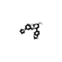 CC1N=C(N)C=C(c2ccc3ncsc3c2)N1Cc1cccc(-n2cccc2)c1